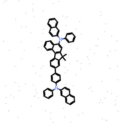 CC1(C)c2cc(-c3ccc(N(c4ccccc4)c4ccc5ccccc5c4)cc3)ccc2-c2c1cc(N(c1ccccc1)c1ccc3ccccc3c1)c1ccccc21